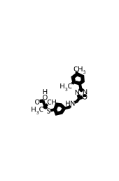 Cc1ccc(-c2noc(CNCc3ccc(SC(C)(C)C(=O)O)cc3)n2)c(C)c1